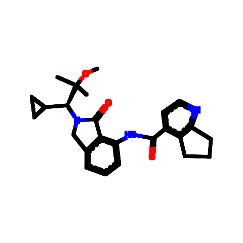 COC(C)(C)[C@H](C1CC1)N1Cc2cccc(NC(=O)c3ccnc4c3CCC4)c2C1=O